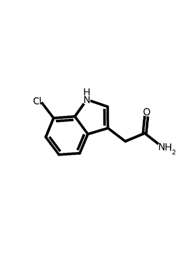 NC(=O)Cc1c[nH]c2c(Cl)cccc12